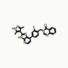 Cc1n[nH]c(C)c1-c1nc2c(-c3ccc(Cn4cnc5ccccc5c4=O)c(F)c3)ccnc2[nH]1